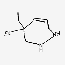 CCC1(C)C=CNNC1